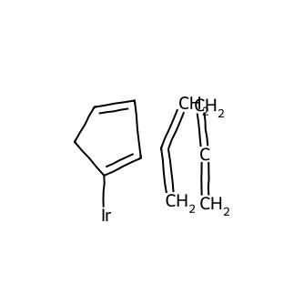 C=C=C.C=C=C.[Ir][C]1=CC=CC1